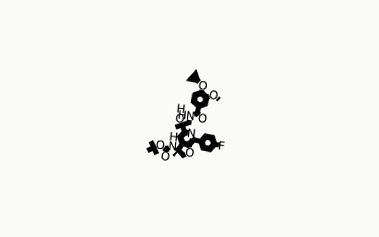 COc1cc(C(=O)NCC(C)(O)c2cc3c(c(-c4ccc(F)cc4)n2)OC[C@]3(C)NC(=O)OC(C)(C)C)ccc1OC1CC1